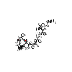 COc1ccc2c3c1O[C@@H]1C[C@@](O)(CC=C1OC(=O)[C@H](C)OC(=O)CCNC(=O)[C@H](CCCCN)NC(C)=O)[C@@H](C2)N(C)CCC3